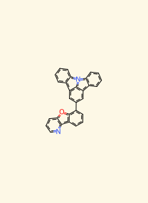 c1cnc2c(c1)oc1c(-c3cc4c5ccccc5n5c6ccccc6c(c3)c45)cccc12